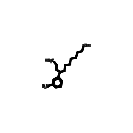 CCCCCCCCCCCCCCCCCC(C=CC(=O)O)c1cccc([N+](=O)[O-])c1